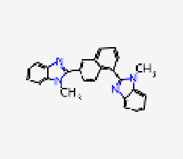 Cn1c(-c2ccc3c(-c4nc5ccccc5n4C)cccc3c2)nc2ccccc21